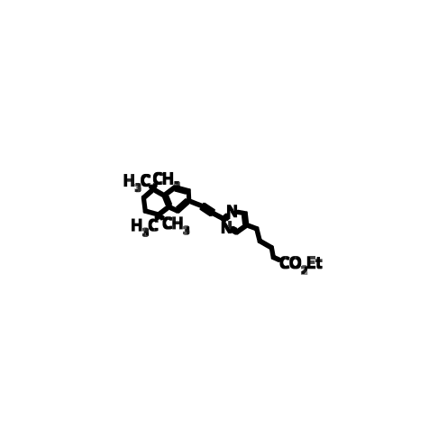 CCOC(=O)CCCCc1cnc(C#Cc2ccc3c(c2)C(C)(C)CCC3(C)C)nc1